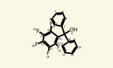 OC(c1ccccc1)(c1ccccc1)c1c(F)c(F)c(F)c(F)c1F